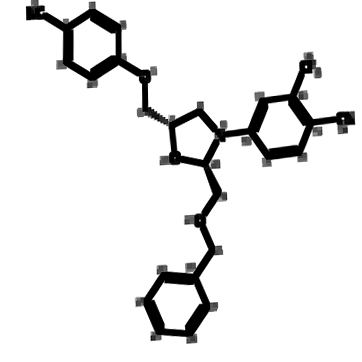 N#Cc1ccc(OC[C@@H]2CN(c3ccc(C#N)c(C(F)(F)F)c3)[C@@H](COCc3ccccc3)O2)cc1